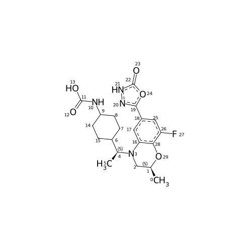 C[C@H]1CN([C@@H](C)C2CCC(NC(=O)O)CC2)c2cc(-c3n[nH]c(=O)o3)cc(F)c2O1